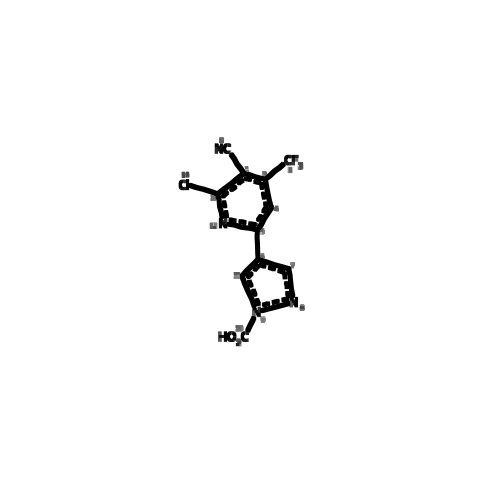 N#Cc1c(C(F)(F)F)cc(-c2cnn(C(=O)O)c2)nc1Cl